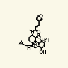 CN(C(=O)/C=C/c1ccoc1)[C@@H]1CC[C@H]2[C@H]3Cc4c(O)ccc5c4[C@@]2(CCN3CC2CC2)[C@H]1O5.Cl